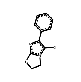 Clc1c(-c2ccccc2)nc2n1CCS2